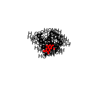 CC1C(O)[C@H](O[C@@H]2OC(CO)[C@H](O)C(O[C@]3(C(=O)O)C[C@@H](O)[C@@H](N)C([C@H](O)[C@H](O)CO)O3)[C@@H]2O)[C@H](CO)O[C@H]1O[C@@H]1C(O)[C@H](O)C(CO)O[C@@H]1OCC1O[C@@H](O[C@@H]2C(CO)O[C@@H](O[C@@H]3C(CO)O[C@@H](C)C(C)[C@H]3O)C(C)[C@H]2O)C(O)C(O[C@H]2O[C@H](CO)[C@@H](O)C(O)C2O[C@@H]2OC(CO)[C@@H](O[C@@H]3OC(CO)[C@H](O)C(O[C@]4(C(=O)O)C[C@@H](O)[C@@H](N)C([C@H](O)[C@H](O)CO)O4)[C@@H]3O)C(O)[C@@H]2C)[C@@H]1O